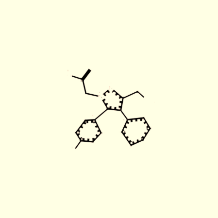 CCc1nn(CC(=O)O)c(-c2ccc(O)cc2)c1-c1ccccc1